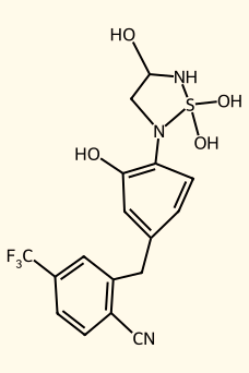 N#Cc1ccc(C(F)(F)F)cc1Cc1ccc(N2CC(O)NS2(O)O)c(O)c1